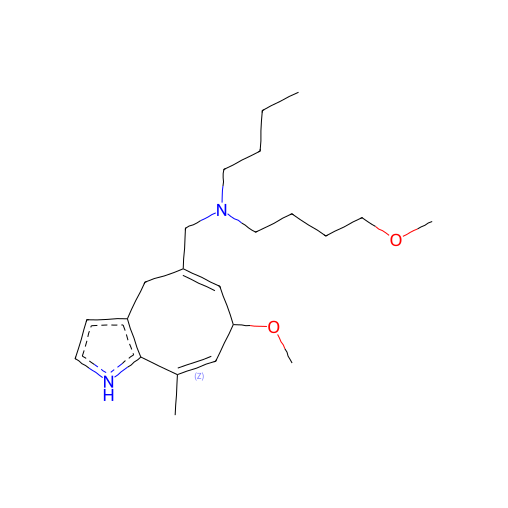 CCCCN(CCCCOC)CC1=CC(OC)/C=C(/C)c2[nH]ccc2C1